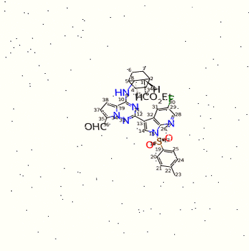 CCOC(=O)[C@H]1C2CCC(CC2)[C@@H]1Nc1nc(-c2cn(S(=O)(=O)c3ccc(C)cc3)c3ncc(F)cc23)nn2c(C=O)ccc12